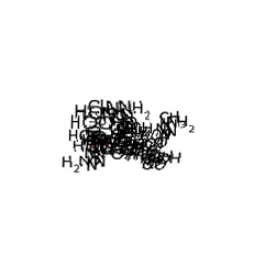 CN1CN=c2c(ncn2[C@@H]2O[C@H](COP(=O)(O)OP(=O)(O)OP(=O)(O)O)[C@@H](O)[C@H]2O)=C1N.Nc1ncnc2c1nc(Cl)n2[C@@H]1O[C@H](COP(=O)(O)OP(=O)(O)OP(=O)(O)OC(OP(=O)(O)OP(=O)(O)OP(=O)(O)O)(OP(=O)(O)OP(=O)(O)OP(=O)(O)O)[C@H]2O[C@@H](n3c(Cl)nc4c(N)ncnc43)C[C@@H]2O)[C@@H](O)[C@H]1O